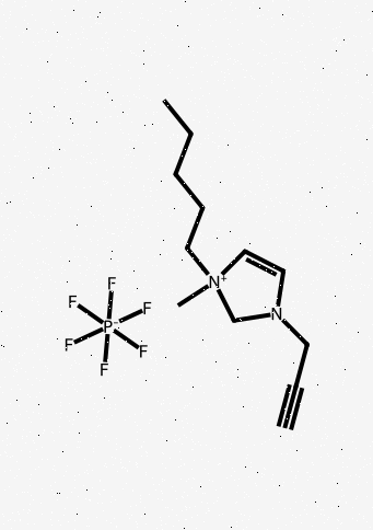 C#CCN1C=C[N+](C)(CCCCC)C1.F[P-](F)(F)(F)(F)F